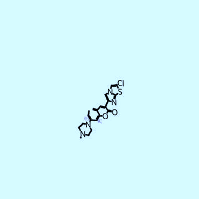 C=c1cc(-c2cn3cc(Cl)sc3n2)c(=O)o/c1=C/C(=C\C)N1CCN(C)CC1